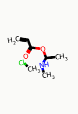 C=CC(=O)OC(C)NC.CCl